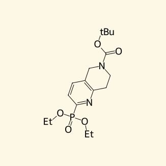 CCOP(=O)(OCC)c1ccc2c(n1)CCN(C(=O)OC(C)(C)C)C2